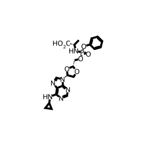 C[C@H](NP(=O)(OC[C@@H]1OC[C@H](n2cnc3c(NC4CC4)ncnc32)O1)Oc1ccccc1)C(=O)O